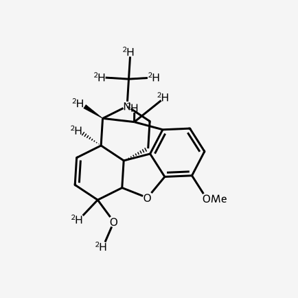 [2H]OC1([2H])C=C[C@]2([2H])[C@@]34CCN(C([2H])([2H])[2H])[C@]2([2H])C([2H])([2H])c2ccc(OC)c(c23)OC14